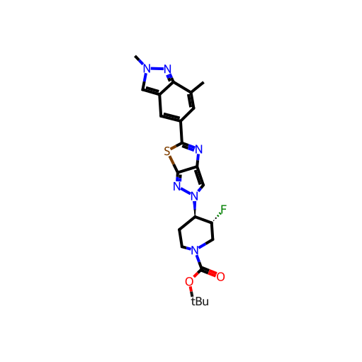 Cc1cc(-c2nc3cn([C@@H]4CCN(C(=O)OC(C)(C)C)C[C@H]4F)nc3s2)cc2cn(C)nc12